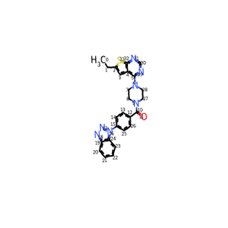 CCc1cc2c(N3CCN(C(=O)c4ccc(-n5nnc6ccccc65)cc4)CC3)ncnc2s1